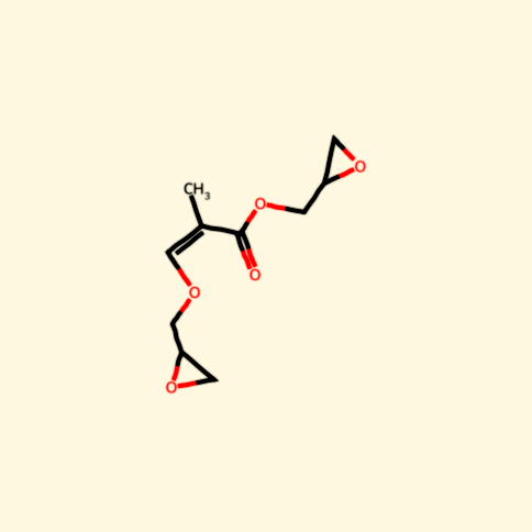 CC(=COCC1CO1)C(=O)OCC1CO1